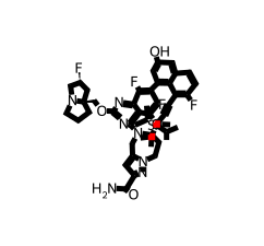 COc1c(F)c(-c2cc(O)cc3ccc(F)c(C#C[Si](C(C)C)(C(C)C)C(C)C)c23)c(F)c2nc(OC[C@@]34CCCN3C[C@H](F)C4)nc(N3CCCn4nc(C(N)=O)cc4C3)c12